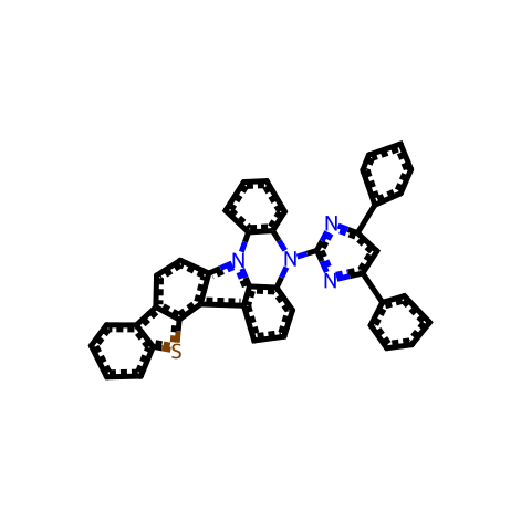 c1ccc(-c2cc(-c3ccccc3)nc(N3c4ccccc4-n4c5ccc6c7ccccc7sc6c5c5cccc3c54)n2)cc1